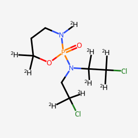 [2H]N1CCC([2H])([2H])OP1(=O)N(CC([2H])([2H])Cl)C([2H])([2H])C([2H])([2H])Cl